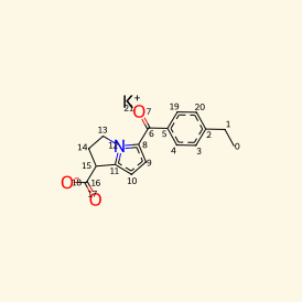 CCc1ccc(C(=O)c2ccc3n2CCC3C(=O)[O-])cc1.[K+]